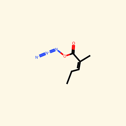 CCC=C(C)C(=O)ON=[N+]=[N-]